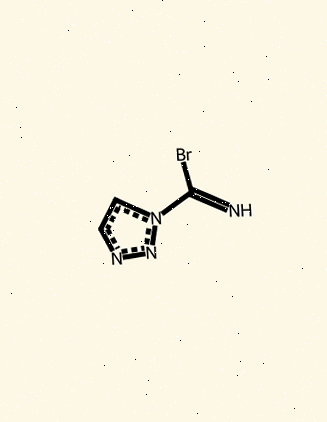 N=C(Br)n1ccnn1